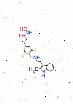 Cc1[nH]c2ccccc2c1CCNCc1c(F)cc(CCC(=O)NO)cc1F